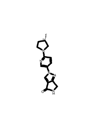 O=C1NCc2nn(-c3ccc(N4CC[C@H](F)C4)nc3)cc21